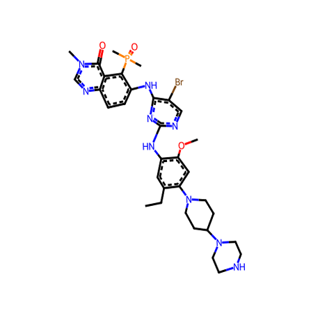 CCc1cc(Nc2ncc(Br)c(Nc3ccc4ncn(C)c(=O)c4c3P(C)(C)=O)n2)c(OC)cc1N1CCC(N2CCNCC2)CC1